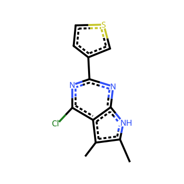 Cc1[nH]c2nc(-c3ccsc3)nc(Cl)c2c1C